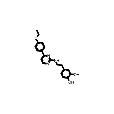 CCOc1ccc(-c2ccnc(NCCc3ccc(O)c(O)c3)n2)cc1